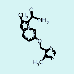 Cc1cc2ccc(OCc3scnc3C)cn2c1C(N)=O